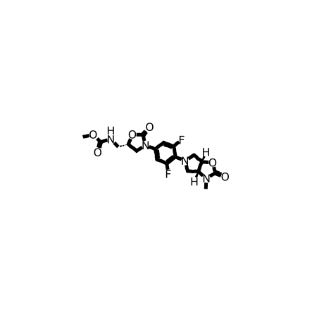 COC(=O)NC[C@H]1CN(c2cc(F)c(N3C[C@@H]4OC(=O)N(C)[C@@H]4C3)c(F)c2)C(=O)O1